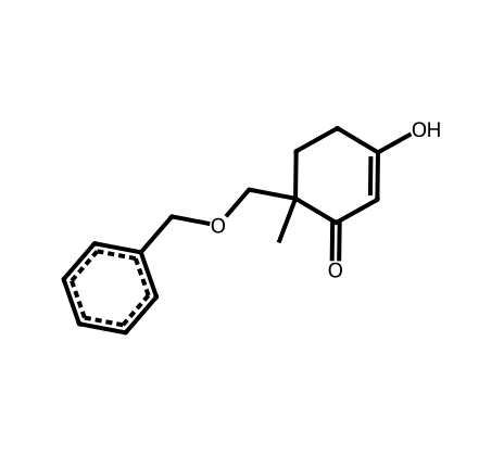 CC1(COCc2ccccc2)CCC(O)=CC1=O